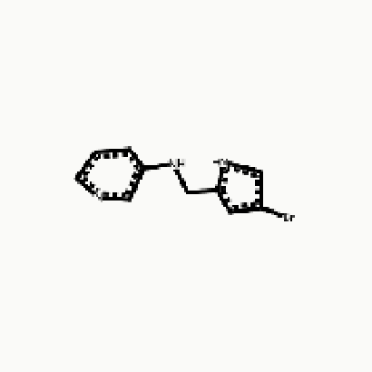 Brc1c[nH]c(CNc2cccnc2)c1